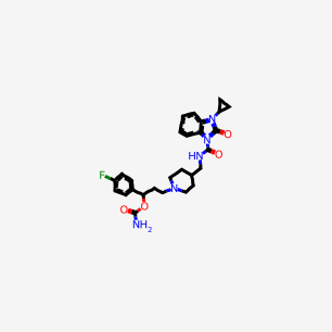 NC(=O)OC(CCN1CCC(CNC(=O)n2c(=O)n(C3CC3)c3ccccc32)CC1)c1ccc(F)cc1